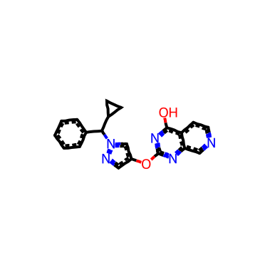 Oc1nc(Oc2cnn(C(c3ccccc3)C3CC3)c2)nc2cnccc12